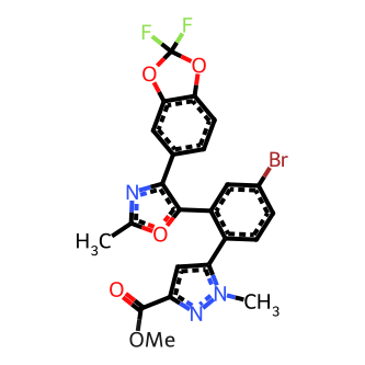 COC(=O)c1cc(-c2ccc(Br)cc2-c2oc(C)nc2-c2ccc3c(c2)OC(F)(F)O3)n(C)n1